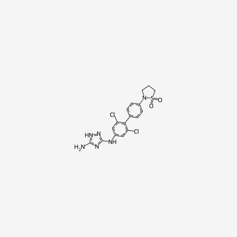 Nc1nc(Nc2cc(Cl)c(-c3ccc(N4CCCS4(=O)=O)cc3)c(Cl)c2)n[nH]1